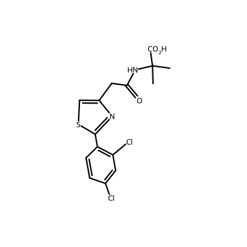 CC(C)(NC(=O)Cc1csc(-c2ccc(Cl)cc2Cl)n1)C(=O)O